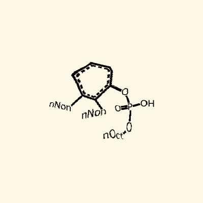 CCCCCCCCCc1cccc(OP(=O)(O)OCCCCCCCC)c1CCCCCCCCC